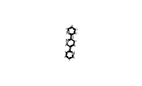 C1=C(c2ccccn2)CN=C(c2ccccn2)C1